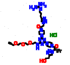 C#CCOCCOCCOCCNc1nc(N2CCN(C(=O)Cn3cc(CCCN=C(N)N)nn3)CC2)nc(N2CCN(C(=O)[C@H](C(C)C)n3cc(CCO)nn3)CC2)n1.Cl